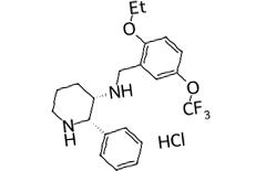 CCOc1ccc(OC(F)(F)F)cc1CN[C@H]1CCCN[C@H]1c1ccccc1.Cl